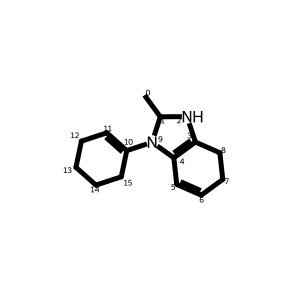 CC1NC2=C(C=CCC2)N1C1=CCCCC1